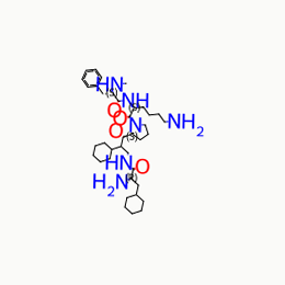 CN[C@@H](Cc1ccccc1)C(=O)N[C@@H](CCCCN)C(=O)N1CCC[C@H]1C(=O)C(CNC(=O)[C@H](N)CC1CCCCC1)C1CCCCC1